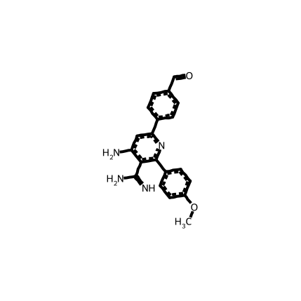 COc1ccc(-c2nc(-c3ccc(C=O)cc3)cc(N)c2C(=N)N)cc1